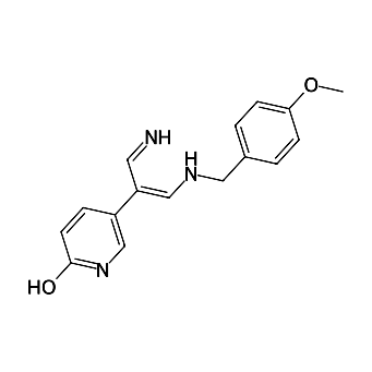 COc1ccc(CN/C=C(\C=N)c2ccc(O)nc2)cc1